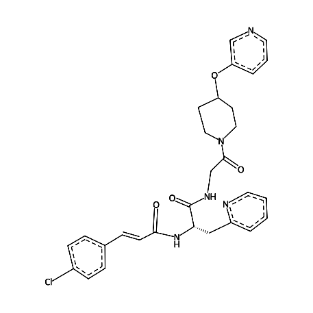 O=C(/C=C/c1ccc(Cl)cc1)N[C@@H](Cc1ccccn1)C(=O)NCC(=O)N1CCC(Oc2cccnc2)CC1